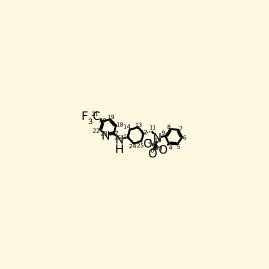 O=S1(=O)Oc2ccccc2N1C[C@H]1CC[C@H](Nc2ccc(C(F)(F)F)cn2)CC1